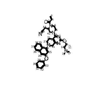 C=CC(=O)N1CCN(c2nc(O[C@H](C)CN(C)C)nc3c2CCN(c2cc(Oc4ccccc4)cc4ccccc24)C3)CC1CC#N